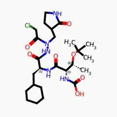 C[C@@H](OC(C)(C)C)[C@H](NC(=O)O)C(=O)N[C@@H](CC1CCCCC1)C(=O)NN(CC1CCNC1=O)C(=O)CCl